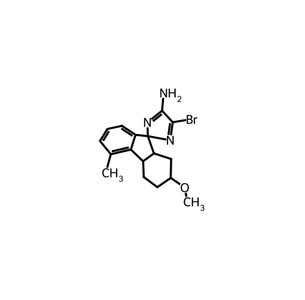 COC1CCC2c3c(C)cccc3C3(N=C(N)C(Br)=N3)C2C1